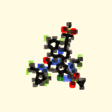 CC(C)(C#Cc1ccc(C2=c3c(c(NS(=O)(=O)C4CC4)nn3CC(F)F)=C(Cl)CC2)c(C(Cc2cc(F)cc(F)c2)NC(=O)Cn2nc(C(F)F)c3c2C(F)(F)C2CC32)n1)S(C)(=O)=O